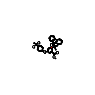 COC(=O)c1cc(Oc2ccc(S(C)(=O)=O)cc2)cc(O[Si](c2ccccc2)(c2ccccc2)C(C)(C)C)c1